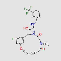 CN1CC(=O)NC(C(O)CNCc2cccc(C(F)(F)F)c2)Cc2cc(F)cc(c2)OCCCCCC1=O